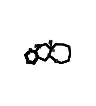 c1ncc2c(n1)NC[C@H]1CCCCCCCN1C2